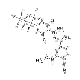 CONc1cc(/C(N)=C/N(N)c2c(Cl)cc(C(F)(C(F)(F)F)C(F)(F)C(F)(F)F)cc2Cl)ccc1C#N